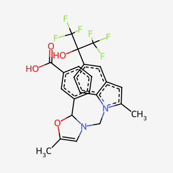 CC1=CN(Cn2c(C)cc3cc(C(O)(C(F)(F)F)C(F)(F)F)ccc32)C(c2cccc(C(=O)O)c2)O1